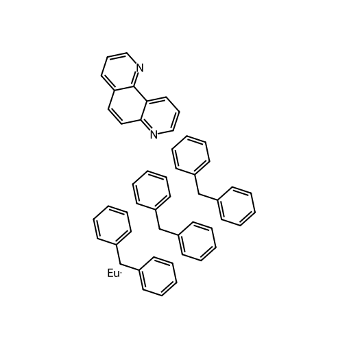 [Eu].c1ccc(Cc2ccccc2)cc1.c1ccc(Cc2ccccc2)cc1.c1ccc(Cc2ccccc2)cc1.c1cnc2c(c1)ccc1ncccc12